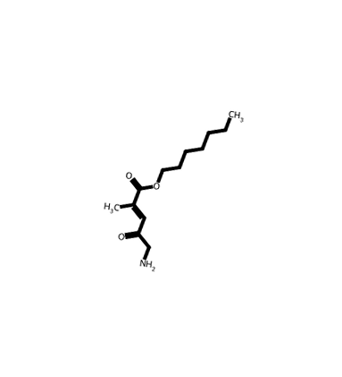 CCCCCCCOC(=O)C(C)=CC(=O)CN